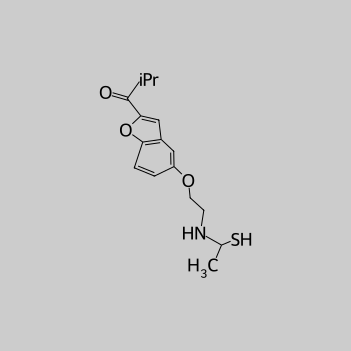 CC(S)NCCOc1ccc2oc(C(=O)C(C)C)cc2c1